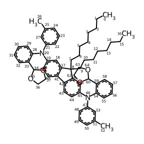 CCCCCCCCC1(CCCCCCCC)c2cc(N(c3cccc(C)c3)c3ccccc3C3OCCO3)ccc2-c2ccc(N(c3cccc(C)c3)c3ccccc3C3OCCO3)cc21